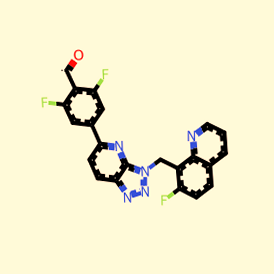 O=[C]c1c(F)cc(-c2ccc3nnn(Cc4c(F)ccc5cccnc45)c3n2)cc1F